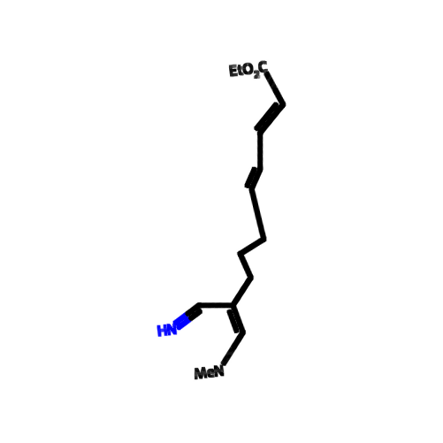 CCOC(=O)/C=C/C=C/CCC/C(C=N)=C/NC